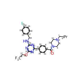 CC(C)CN1CCN(C(=O)c2ccc(-c3nc(NCc4ccc(F)cc4)nc(OCC(F)(F)F)n3)cc2)CC1